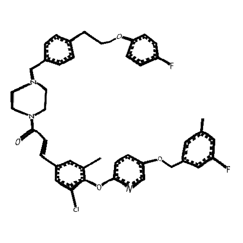 Cc1cc(F)cc(COc2ccc(Oc3c(C)cc(C=CC(=O)N4CCN(Cc5ccc(CCOc6ccc(F)cc6)cc5)CC4)cc3Cl)nc2)c1